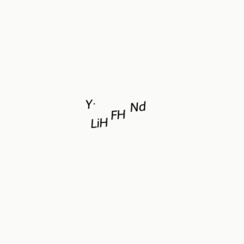 F.[LiH].[Nd].[Y]